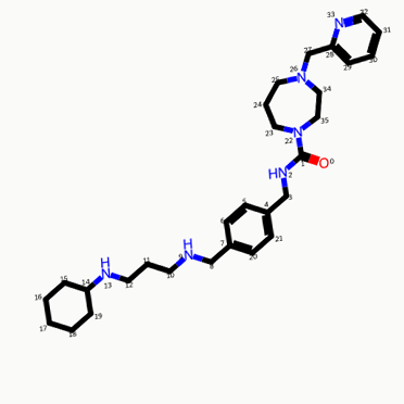 O=C(NCc1ccc(CNCCCNC2CCCCC2)cc1)N1CCCN(Cc2ccccn2)CC1